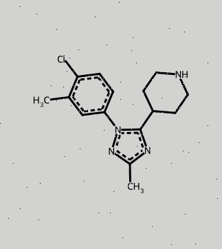 Cc1nc(C2CCNCC2)n(-c2ccc(Cl)c(C)c2)n1